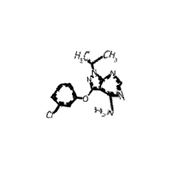 CC(C)n1nc(Oc2cccc(Cl)c2)c2c(N)ncnc21